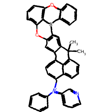 CC1(C)c2cc3c(cc2-c2ccc(N(c4ccccc4)c4cccnc4)c4cccc1c24)Oc1cccc2c1B3c1ccccc1O2